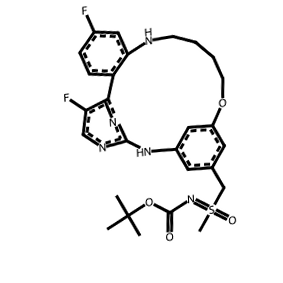 CC(C)(C)OC(=O)N=S(C)(=O)Cc1cc2cc(c1)OCCCCNc1cc(F)ccc1-c1nc(ncc1F)N2